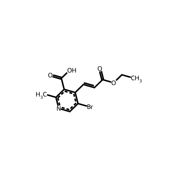 CCOC(=O)/C=C/c1c(Br)cnc(C)c1C(=O)O